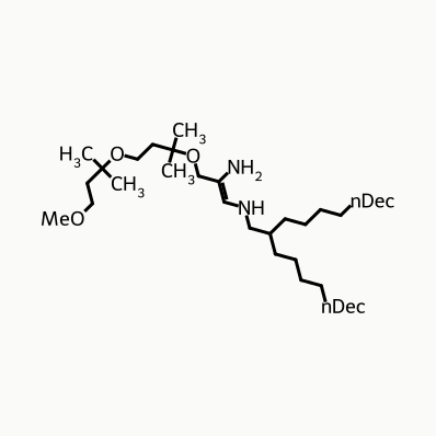 CCCCCCCCCCCCCCC(CCCCCCCCCCCCCC)CN/C=C(\N)COC(C)(C)CCOC(C)(C)CCOC